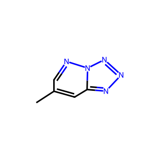 Cc1cnn2nnnc2c1